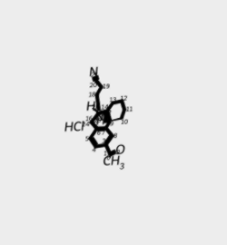 CC(=O)c1ccc2c(c1)[C@@]13CCCC[C@H]1[C@@H](C2)N(CCC#N)CC3.Cl